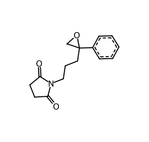 O=C1CCC(=O)N1CCCC1(c2ccccc2)CO1